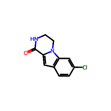 O=C1NCCn2c1cc1ccc(Cl)cc12